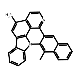 Cc1c2ccccc2cc2c3nccc4c(P)cc5c6ccccc6n(c12)c5c43